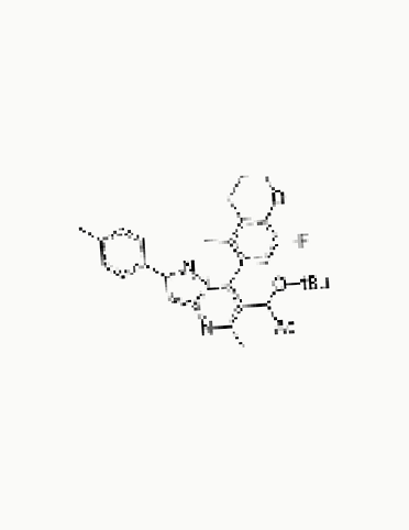 CC(=O)C(OC(C)(C)C)c1c(C)nc2cc(-c3ccc(C)cc3)nn2c1-c1cc(F)c2c(c1C)CCCO2